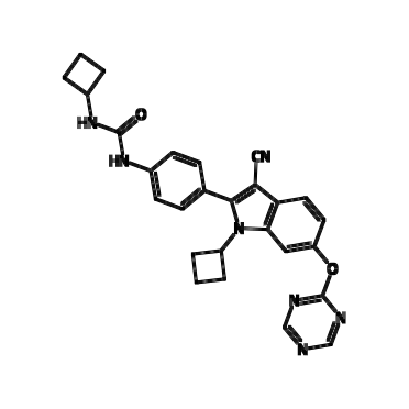 N#Cc1c(-c2ccc(NC(=O)NC3CCC3)cc2)n(C2CCC2)c2cc(Oc3ncncn3)ccc12